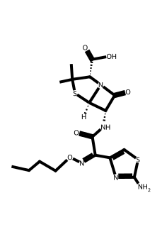 CCCCO/N=C(\C(=O)N[C@H]1C(=O)N2[C@@H]1SC(C)(C)[C@@H]2C(=O)O)c1csc(N)n1